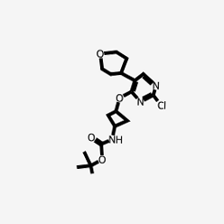 CC(C)(C)OC(=O)NC1CC(Oc2nc(Cl)ncc2C2CCOCC2)C1